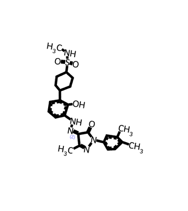 CNS(=O)(=O)C1CCC(c2cccc(N/N=C3\C(=O)N(c4ccc(C)c(C)c4)N=C3C)c2O)CC1